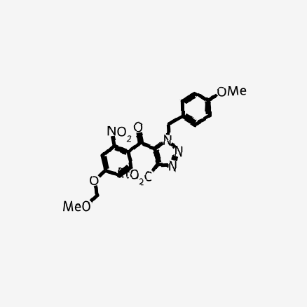 CCOC(=O)c1nnn(Cc2ccc(OC)cc2)c1C(=O)c1ccc(OCOC)cc1[N+](=O)[O-]